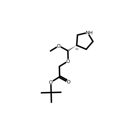 COC(OCC(=O)OC(C)(C)C)[C@H]1CCNC1